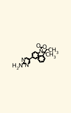 C[C@@H]1OC(=O)N(c2ccc(-c3cnc(N)nc3)cc2)C1(C)c1ccccc1